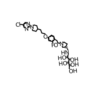 O=C(Cc1ccc(OCCCC2CCN(c3ncc(Cl)cn3)CC2)cc1F)N1CC[C@@H](CNC[C@H](O)[C@@H](O)[C@H](O)[C@H](O)CO)C1